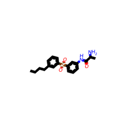 CCCCc1cccc(S(=O)(=O)c2cccc(NC(=O)C(C)N)c2)c1